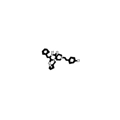 O=C1C(Cc2ccccc2)NC(=O)C2(CCN(CCc3ccc(Cl)cc3)CC2)N1Cc1ccco1